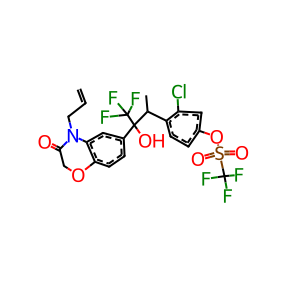 C=CCN1C(=O)COc2ccc(C(O)(C(C)c3ccc(OS(=O)(=O)C(F)(F)F)cc3Cl)C(F)(F)F)cc21